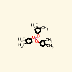 Cc1ccc(OP(Oc2ccc(C)c(C)c2)Oc2ccc(C)c(C)c2)cc1C